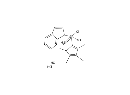 CC[CH2][Zr](=[SiH2])([Cl])([C]1=C(C)C(C)=C(C)C1C)[CH]1C=Cc2ccccc21.Cl.Cl